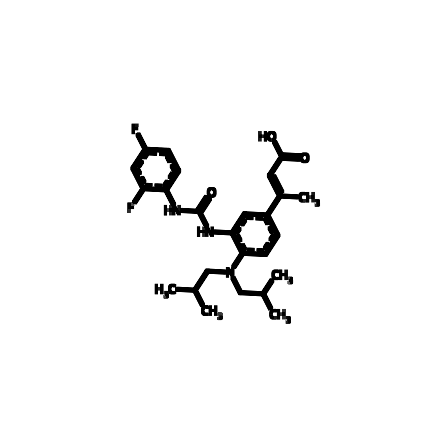 CC(=CC(=O)O)c1ccc(N(CC(C)C)CC(C)C)c(NC(=O)Nc2ccc(F)cc2F)c1